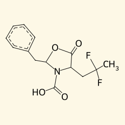 CC(F)(F)CC1C(=O)OC(Cc2ccccc2)N1C(=O)O